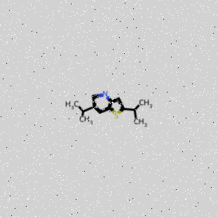 CC(C)c1cnc2cc(C(C)C)sc2c1